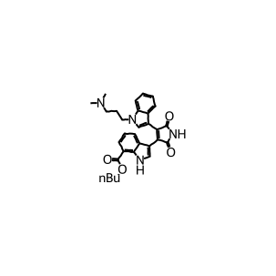 CCCCOC(=O)c1cccc2c(C3=C(c4cn(CCCN(C)C)c5ccccc45)C(=O)NC3=O)c[nH]c12